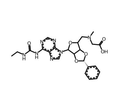 CCNC(=O)Nc1ncnc2c1ncn2C1OC(CN(C)CC(=O)O)C2O[C@H](c3ccccc3)OC21